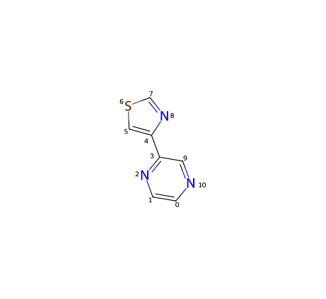 c1cnc(-c2cscn2)cn1